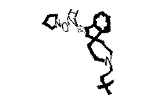 CC(C)(C)CCN1CCC2(CC1)C[C@H](NON1CCCC1)c1ccccc12